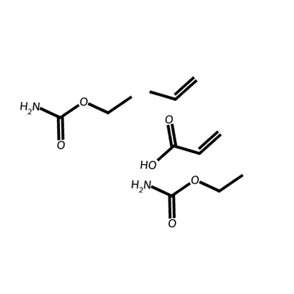 C=CC.C=CC(=O)O.CCOC(N)=O.CCOC(N)=O